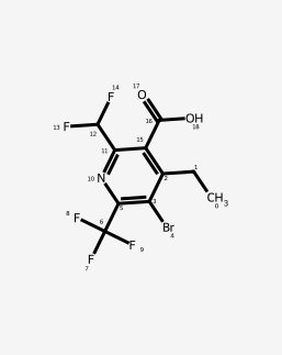 CCc1c(Br)c(C(F)(F)F)nc(C(F)F)c1C(=O)O